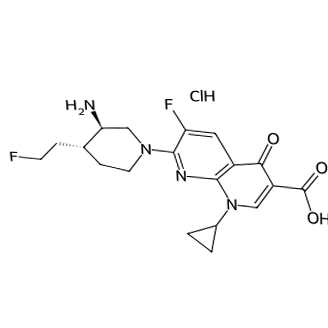 Cl.N[C@H]1CN(c2nc3c(cc2F)c(=O)c(C(=O)O)cn3C2CC2)CC[C@@H]1CCF